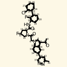 CC(=O)c1cn(CC(=O)N2C[C@H](F)C[C@H]2C(=O)Nc2cccc(-c3ccccc3Cl)c2F)c2ccc(-c3cnnc(C)c3)cc12